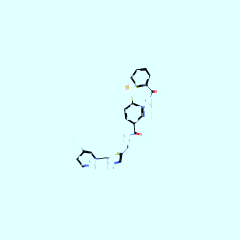 O=C(NCc1cnc(-c2cc(F)ccn2)s1)c1ccc2c(c1)NC(=O)c1ccccc1S2(=O)=O